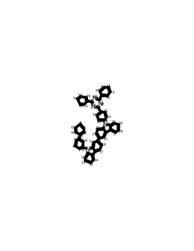 c1ccc(-c2cccc(-n3c4ccccc4c4ccc(-c5ccc6c(c5)c5ccccc5n6-c5ccc(-c6nc(-c7ccccc7)nc(-c7ccccc7)n6)cc5)cc43)c2)cc1